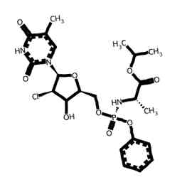 Cc1cn([C@H]2O[C@@H](CO[P@@](=O)(N[C@@H](C)C(=O)OC(C)C)Oc3ccccc3)C(O)[C@H]2Cl)c(=O)[nH]c1=O